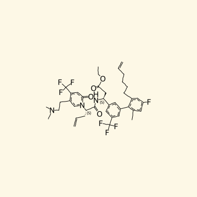 C=CCCCCc1cc(F)cc(C)c1-c1cc([C@H](CC(=O)OCC)NC(=O)[C@H](CC=C)n2cc(CCN(C)C)c(C(F)(F)F)cc2=O)cc(C(F)(F)F)c1